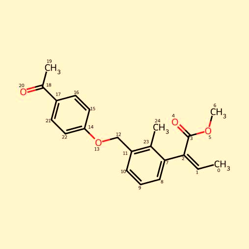 CC=C(C(=O)OC)c1cccc(COc2ccc(C(C)=O)cc2)c1C